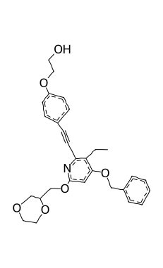 CCc1c(OCc2ccccc2)cc(OCC2COCCO2)nc1C#Cc1ccc(OCCO)cc1